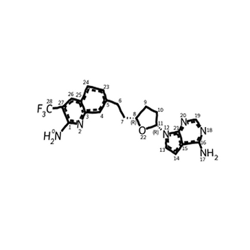 Nc1nc2cc(CC[C@@H]3CC[C@H](n4ccc5c(N)ncnc54)O3)ccc2cc1C(F)(F)F